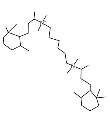 CC1CCCC(C)(C)C1CCC(C)[N+](C)(C)CCCCCC[N+](C)(C)C(C)CCC1C(C)CCCC1(C)C